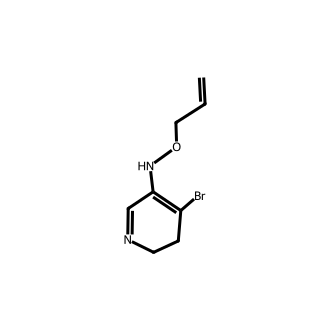 C=CCONC1=C(Br)CCN=C1